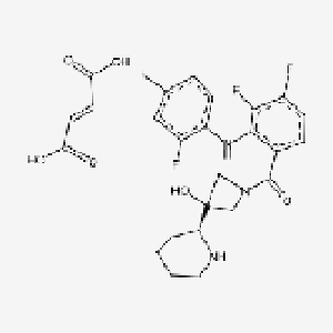 O=C(O)/C=C/C(=O)O.O=C(c1ccc(F)c(F)c1Nc1ccc(I)cc1F)N1CC(O)([C@@H]2CCCCN2)C1